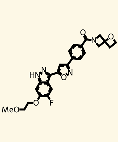 COCCOc1cc2[nH]nc(-c3cc(-c4ccc(C(=O)N5CC6(CCO6)C5)cc4)no3)c2cc1F